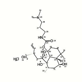 C=C[C@@H](C)CC(=O)[C@]1(O)[C@@H](C)C[C@H](O)[C@H]2C(C)(C)CC[C@](O)(OC(=O)NCCCN(C)C)[C@@]21C.Cl.O